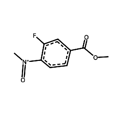 COC(=O)c1ccc([N+](C)=O)c(F)c1